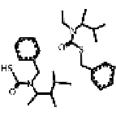 CC(C)C(C)C(C)N(Cc1ccccc1)C(=O)S.CCN(C(=O)SCc1ccccc1)C(C)C(C)C